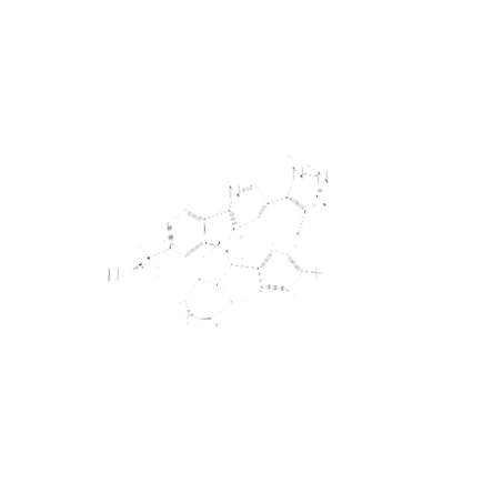 Cc1nnn(C)c1-c1cnc2c3ccc(C(C)(C)O)cc3n(C(c3ccc(F)cc3)C3CCOCC3)c2c1